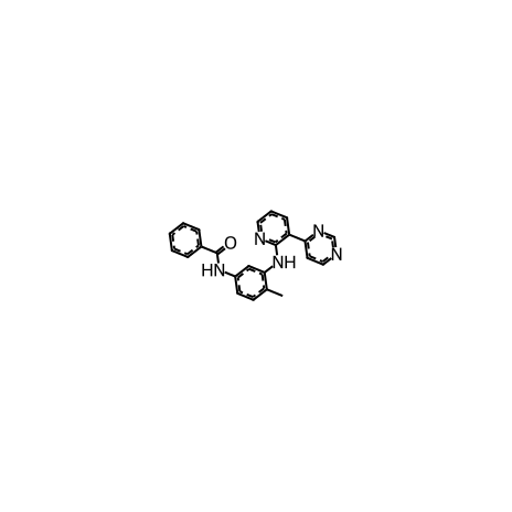 Cc1ccc(NC(=O)c2ccccc2)cc1Nc1ncccc1-c1ccncn1